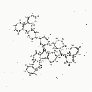 c1cc(-c2ccc3c4ccccc4c4ccccc4c3c2)cc(-n2c3ccc4c5ccccc5oc4c3c3ccc4c(c5ccccc5n4-c4cccc5ccccc45)c32)c1